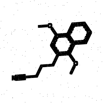 COc1cc(CCCC#N)c(OC)c2ccccc12